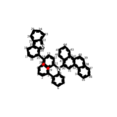 c1ccc(-c2ccccc2N(c2ccc(-c3cccc4c3sc3ccccc34)cc2)c2cc3c4ccccc4ccc3c3ccccc23)cc1